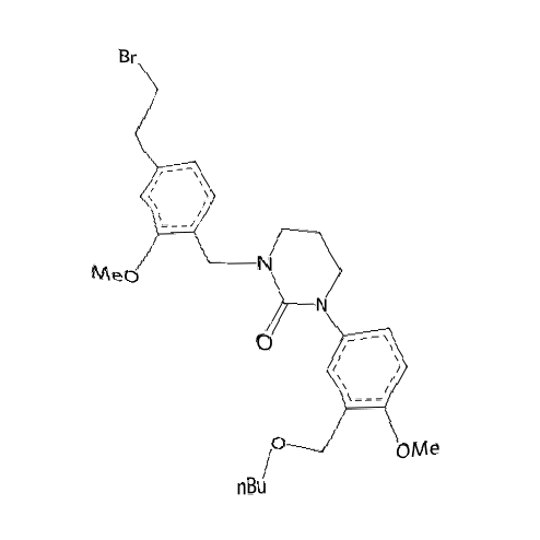 CCCCOCc1cc(N2CCCN(Cc3ccc(CCBr)cc3OC)C2=O)ccc1OC